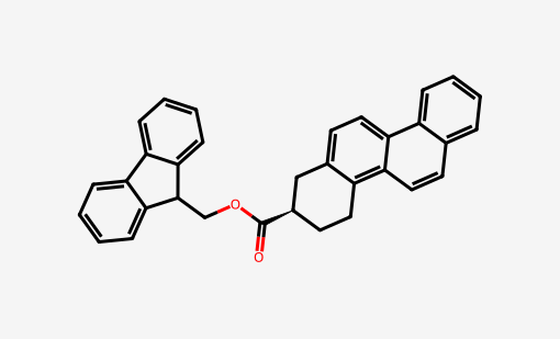 O=C(OCC1c2ccccc2-c2ccccc21)[C@@H]1CCc2c(ccc3c2ccc2ccccc23)C1